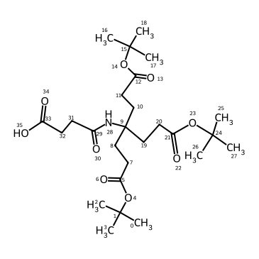 CC(C)(C)OC(=O)CCC(CCC(=O)OC(C)(C)C)(CCC(=O)OC(C)(C)C)NC(=O)CCC(=O)O